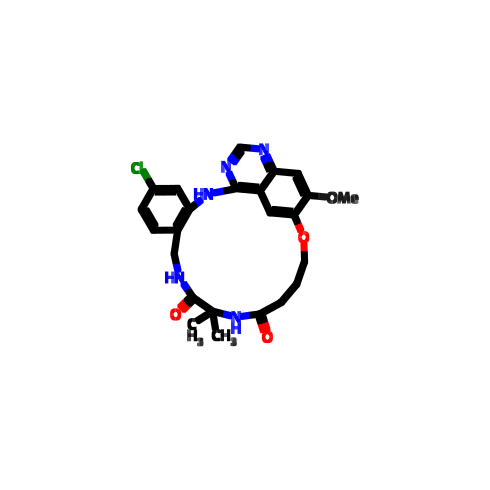 COc1cc2ncnc3c2cc1OCCCC(=O)NC(C)(C)C(=O)NCc1ccc(Cl)cc1N3